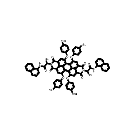 CC(C)C(C(=O)Nc1cccc2ccccc12)N1C(=O)c2cc(Oc3ccc(C(C)(C)C)cc3)c3c4c(Oc5ccc(C(C)(C)C)cc5)cc5c6c(cc(Oc7ccc(C(C)(C)C)cc7)c(c7c(Oc8ccc(C(C)(C)C)cc8)cc(c2c37)C1=O)c64)C(=O)N(C(C(=O)Nc1cccc2ccccc12)C(C)C)C5=O